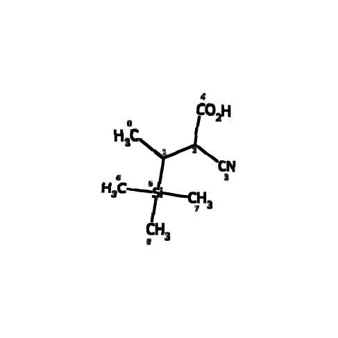 CC(C(C#N)C(=O)O)[Si](C)(C)C